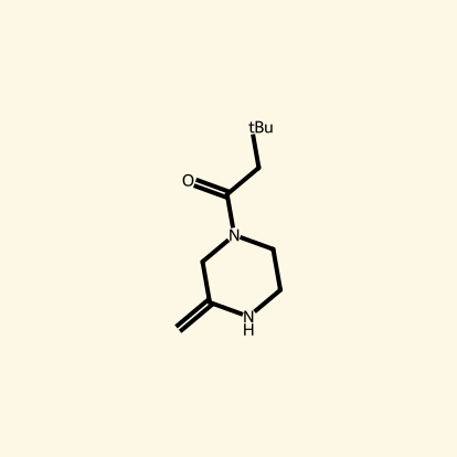 C=C1CN(C(=O)CC(C)(C)C)CCN1